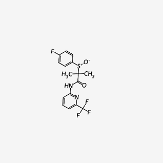 CC(C)(C(=O)Nc1cccc(C(F)(F)F)n1)[S+]([O-])c1ccc(F)cc1